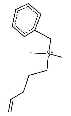 C=CCCC[N+](C)(C)Cc1ccccc1